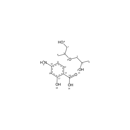 CC(O)COC(C)CO.Nc1ccc(C(=O)O)c(O)c1